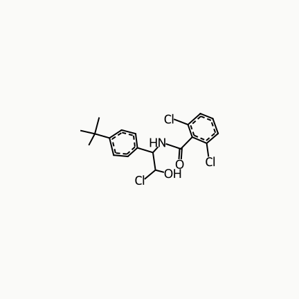 CC(C)(C)c1ccc(C(NC(=O)c2c(Cl)cccc2Cl)C(O)Cl)cc1